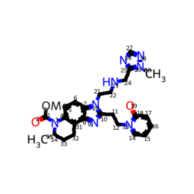 COC(=O)N1c2ccc3c(nc(CCn4ccccc4=O)n3CCNCc3ncnn3C)c2CC[C@@H]1C